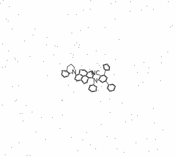 N#Cc1c(-c2ccccc2)cc(-c2ccccc2)cc1N(c1ccccc1)c1ccc2ccc3c(N4CCCc5ccccc54)ccc4ccc1c2c43